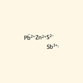 [Pb+2].[S-2].[Sb+3].[Zn+2]